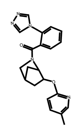 Cc1ccc(OC2CC3CC2N(C(=O)c2ccccc2-n2cnnc2)C3)nc1